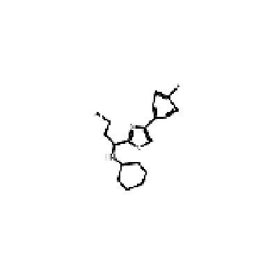 CC(C)CCC(NC1CCCCC1)c1nc(-c2ccc(F)cc2)c[nH]1